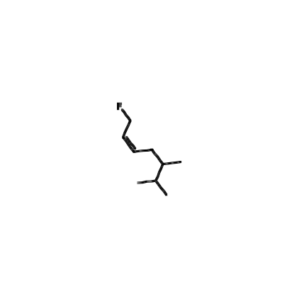 CC(C)C(C)C/C=C\CF